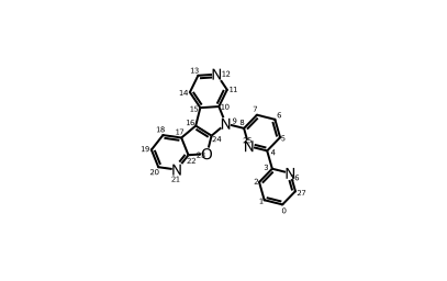 c1ccc(-c2cccc(-n3c4cnccc4c4c5cccnc5oc43)n2)nc1